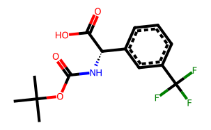 CC(C)(C)OC(=O)N[C@H](C(=O)O)c1cccc(C(F)(F)F)c1